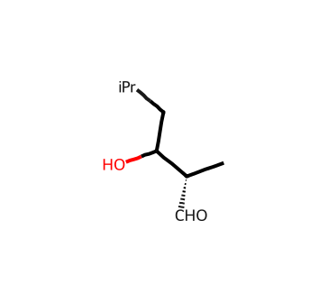 CC(C)CC(O)[C@H](C)C=O